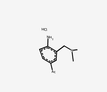 CC(=O)c1ccc(N)c(CN(C)C)c1.Cl